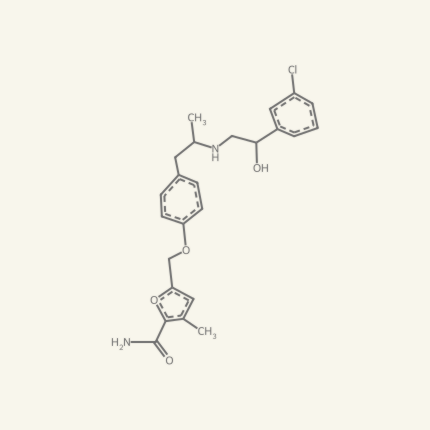 Cc1cc(COc2ccc(CC(C)NCC(O)c3cccc(Cl)c3)cc2)oc1C(N)=O